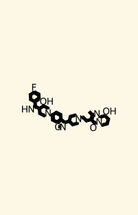 Cc1nc2n(c(=O)c1CCN1CCC(c3noc4cc(N5CCC(C(=N)C6=C(O)C=C(F)CC6)CC5)ccc34)CC1)CCCC2O